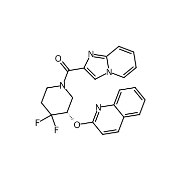 O=C(c1cn2ccccc2n1)N1CCC(F)(F)[C@@H](Oc2ccc3ccccc3n2)C1